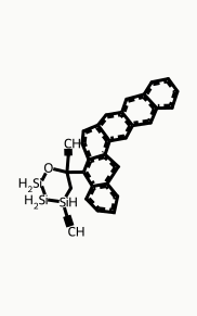 C#C[SiH]1CC(C#C)(c2c3ccccc3cc3c2ccc2cc4cc5ccccc5cc4cc23)O[SiH2][SiH2]1